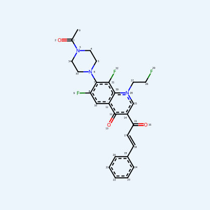 CC(=O)N1CCN(c2c(F)cc3c(=O)c(C(=O)C=Cc4ccccc4)cn(CCF)c3c2F)CC1